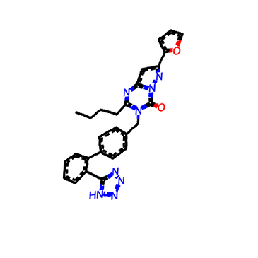 CCCCc1nc2cc(-c3ccco3)nn2c(=O)n1Cc1ccc(-c2ccccc2-c2nnn[nH]2)cc1